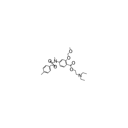 CCN(CC)CCOC(=O)c1ccc(N(C)S(=O)(=O)c2ccc(C)cc2)cc1OCOC